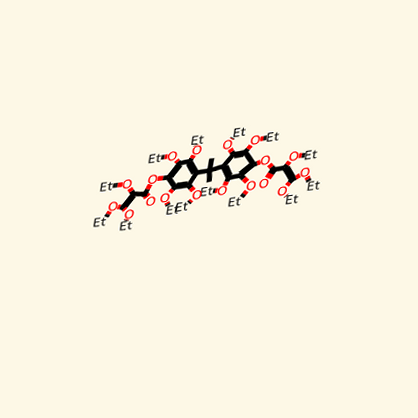 CCOC(OCC)=C(OCC)C(=O)Oc1c(OCC)c(OCC)c(C(C)(C)c2c(OCC)c(OCC)c(OC(=O)C(OCC)=C(OCC)OCC)c(OCC)c2OCC)c(OCC)c1OCC